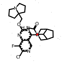 NC(=O)OC1C2CCC1CN(c1nc(OCC34CCCN3CCC4)nc3c(F)c(Cl)ncc13)C2